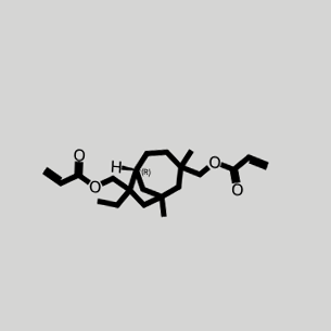 C=CC(=O)OCC1(C)CC[C@@H]2CC(C)(C1)CC2(CC)COC(=O)C=C